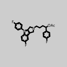 CC(=O)OC(CCCN1Cc2c(n(-c3ccc(F)cc3)c3ccc(F)cc23)C1)c1ccc(F)cc1